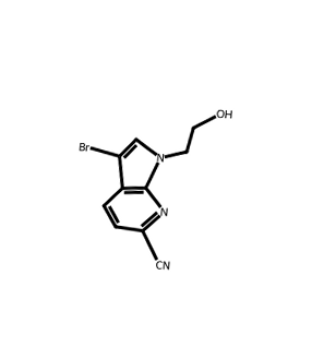 N#Cc1ccc2c(Br)cn(CCO)c2n1